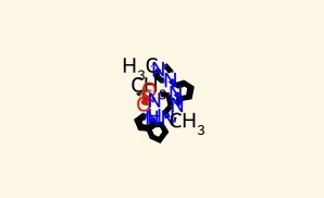 CCS(=O)(=O)NCC1C(CN(C)[C@H]2CCCc3cccnc32)N=C2C=CC=C(N3CCN(C)CC3)N21